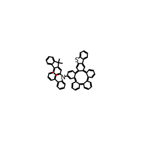 CC1(C)c2ccccc2-c2ccc(N(c3ccc4c(c3)c3ccccc3c3ccccc3c3ccccc3c3cc5c(cc43)sc3ccccc35)c3ccccc3-c3ccccc3)cc21